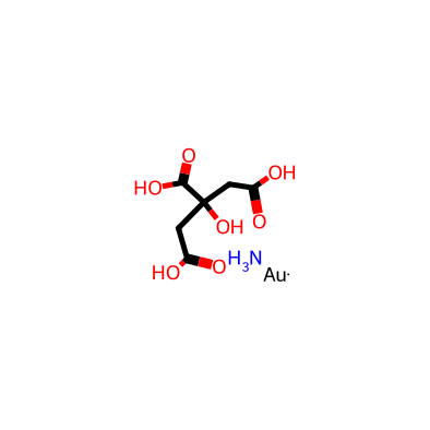 N.O=C(O)CC(O)(CC(=O)O)C(=O)O.[Au]